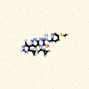 CCSc1ccc(CNc2nc3nnc(-c4c(C)ncnc4C4CC4)cc3n(C(C)C3CC3)c2=O)nc1